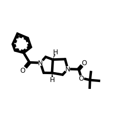 CC(C)(C)OC(=O)N1C[C@@H]2CN(C(=O)c3ccccc3)C[C@@H]2C1